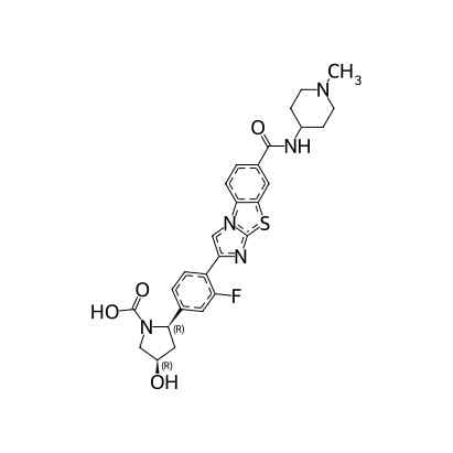 CN1CCC(NC(=O)c2ccc3c(c2)sc2nc(-c4ccc([C@H]5C[C@@H](O)CN5C(=O)O)cc4F)cn23)CC1